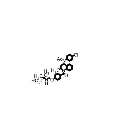 CC(=O)N(c1ccc(Cl)cc1)[C@@H]1C[C@H](C)N(C(=O)c2ccc(OCNC(C)(C)C(=O)O)cc2)c2ccccc21